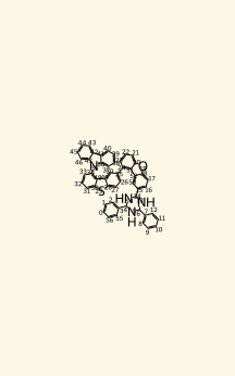 c1ccc(C2NC(c3ccccc3)NC(c3ccc4oc5cccc(-c6ccc7sc8cccc(-n9c%10ccccc%10c%10ccccc%109)c8c7c6)c5c4c3)N2)cc1